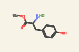 CC(C)(C)OC(=O)[C@@H](N)Cc1ccc(O)cc1.Cl